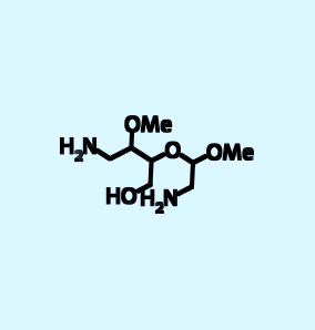 COC(CN)OC(CO)C(CN)OC